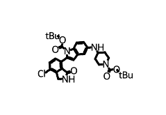 CC(C)(C)OC(=O)N1CCC(Nc2ccc3c(c2)cc(-c2ccc(Cl)c4c2C(=O)NC4)n3C(=O)OC(C)(C)C)CC1